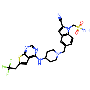 N#Cc1cc2cc(CN3CCC(Nc4ncnc5sc(CC(F)(F)F)cc45)CC3)ccc2n1CS(N)(=O)=O